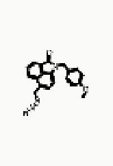 COc1ccc(CN2C(=O)c3cccc4c(CN=[N+]=[N-])ccc2c34)cc1